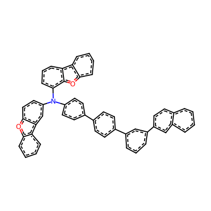 c1cc(-c2ccc(-c3ccc(N(c4ccc5oc6ccccc6c5c4)c4cccc5c4oc4ccccc45)cc3)cc2)cc(-c2ccc3ccccc3c2)c1